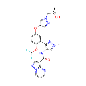 C[C@@H](O)Cn1cc(Oc2ccc(OC(F)F)c(-c3nn(C)cc3NC(=O)c3cnn4cccnc34)c2)cn1